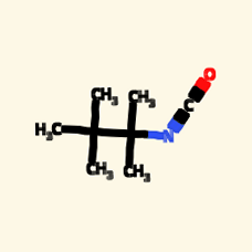 CC(C)(C)C(C)(C)N=C=O